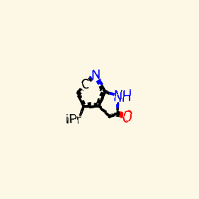 CC(C)c1ccnc2c1CC(=O)N2